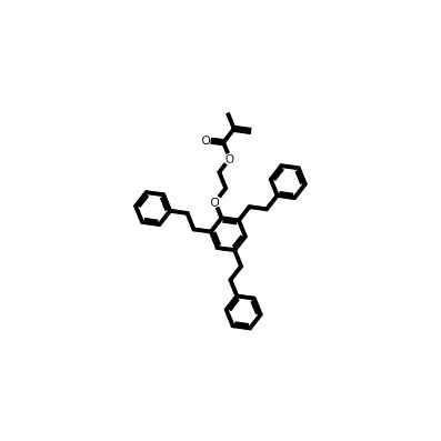 C=C(C)C(=O)OCCOc1c(CCc2ccccc2)cc(CCc2ccccc2)cc1CCc1ccccc1